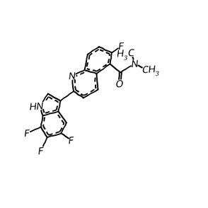 CN(C)C(=O)c1c(F)ccc2nc(-c3c[nH]c4c(F)c(F)c(F)cc34)ccc12